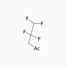 CC(=O)CC(F)(F)C(F)F